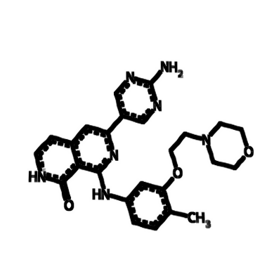 Cc1ccc(Nc2nc(-c3cnc(N)nc3)cc3cc[nH]c(=O)c23)cc1OCCN1CCOCC1